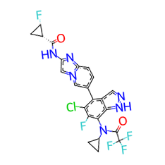 O=C(Nc1cn2cc(-c3c(Cl)c(F)c(N(C(=O)C(F)(F)F)C4CC4)c4[nH]ncc34)ccc2n1)[C@@H]1C[C@@H]1F